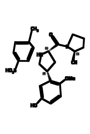 COc1ccc(O)cc1[C@@H]1CN[C@H](C(=O)N2CCC[C@H]2C#N)C1.Cc1ccc(S(=O)(=O)O)cc1